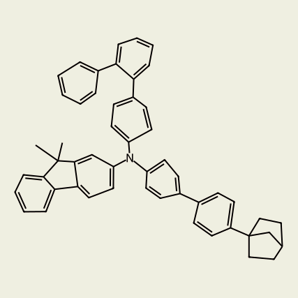 CC1(C)c2ccccc2-c2ccc(N(c3ccc(-c4ccc(C56CCC(CC5)C6)cc4)cc3)c3ccc(-c4ccccc4-c4ccccc4)cc3)cc21